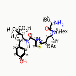 CCCCCCN(C(=O)[C@@H](N)[C@@H](C)CC)[C@H](C[C@@H](OC(C)=O)c1nc(C(=O)N[C@@H](Cc2ccc(O)cc2)CC(C)(C)C(=O)O)cs1)C(C)C